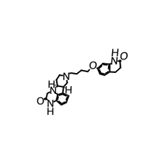 O=C1CCc2ccc(OCCCCN3CC[C@H]4[C@@H](C3)c3cccc5c3N4CC(=O)N5)cc2N1